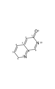 O=C1C=C2C=CCN=C2C=N1